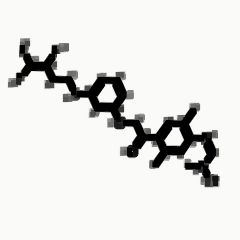 CCN(C)/C=N\c1cc(C)c(C(=O)COc2cccc(SCCC(F)=C(F)F)c2)cc1C